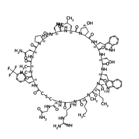 CCCC[C@H]1C(=O)N(C)[C@@H](CCCC)C(=O)N[C@@H](CCCNC(=N)N)C(=O)N[C@H](C(=O)NCC(N)=O)CSCC(=O)N[C@@H](Cc2ccc(C(F)(F)F)cc2)C(=O)N(C)[C@@H](C)C(=O)N[C@@H](CC(N)=O)C(=O)N2CCC[C@H]2C(=O)N[C@@H](CN)C(=O)N[C@@H](CC(C)C)C(=O)N2C[C@H](O)CC2C(=O)N[C@@H](Cc2c[nH]c3ccccc23)C(=O)N[C@@H](CO)C(=O)N[C@@H](Cc2c[nH]c3ccccc23)C(=O)N1C